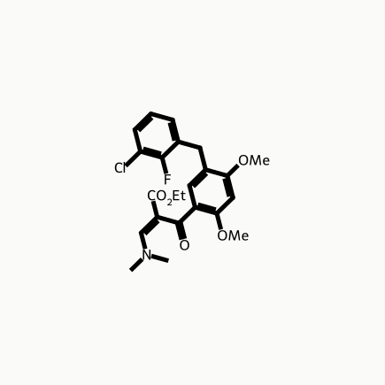 CCOC(=O)/C(=C/N(C)C)C(=O)c1cc(Cc2cccc(Cl)c2F)c(OC)cc1OC